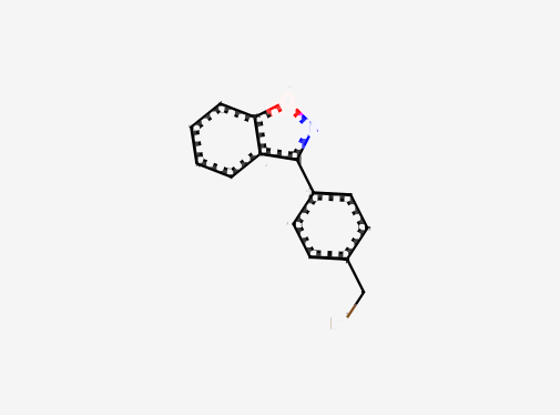 BrCc1ccc(-c2noc3ccccc23)cc1